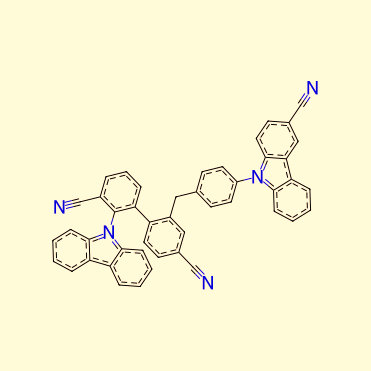 N#Cc1ccc(-c2cccc(C#N)c2-n2c3ccccc3c3ccccc32)c(Cc2ccc(-n3c4ccccc4c4cc(C#N)ccc43)cc2)c1